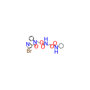 O=C(NCCOC(=O)NC1CCCCC1)OCCN(C(=O)c1cncc(Br)c1)c1ccccc1